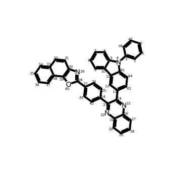 c1ccc(-n2c3ccccc3c3cc(-c4nc5ccccc5nc4-c4ccc(-c5nc6ccc7ccccc7c6o5)cc4)ccc32)cc1